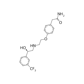 NC(=O)Cc1ccc(OCCNC[C@H](O)c2cccc(C(F)(F)F)c2)cc1